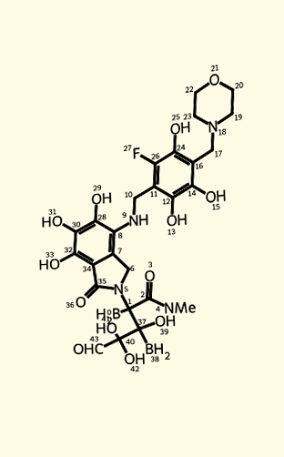 BC(C(=O)NC)(N1Cc2c(NCc3c(O)c(O)c(CN4CCOCC4)c(O)c3F)c(O)c(O)c(O)c2C1=O)C(B)(O)C(O)(O)C=O